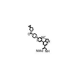 CN/C=C(\C=N)c1cc(-c2ccc(N3CCN(C(=O)N4CCC5(CC5)C4)CC3)nc2)c2c(C#N)cnn2c1